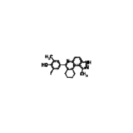 Cc1cc(-c2nc3ccc4[nH]nc(C)c4c3c3c2CCCC3)cc(I)c1O